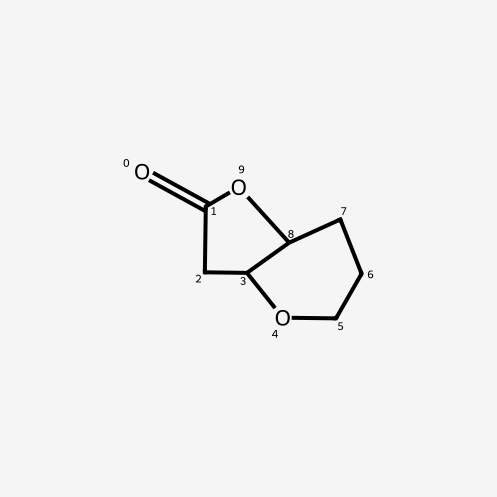 O=C1CC2OCCCC2O1